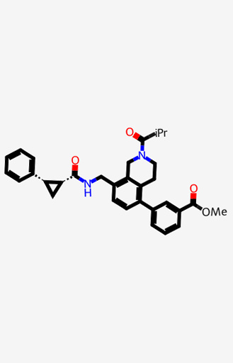 COC(=O)c1cccc(-c2ccc(CNC(=O)[C@@H]3C[C@@H]3c3ccccc3)c3c2CCN(C(=O)C(C)C)C3)c1